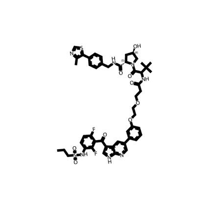 CCCS(=O)(=O)Nc1ccc(F)c(C(=O)c2c[nH]c3ncc(-c4cccc(OCCOCCC(=O)NC(C(=O)N5C[C@H](O)C[C@H]5C(=O)NCc5ccc(-c6scnc6C)cc5)C(C)(C)C)c4)cc23)c1F